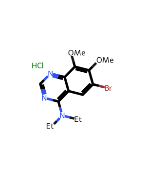 CCN(CC)c1ncnc2c(OC)c(OC)c(Br)cc12.Cl